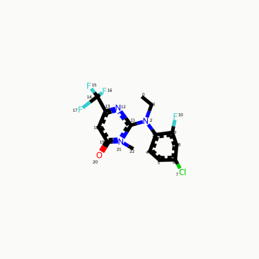 CCN(c1ccc(Cl)cc1F)c1nc(C(F)(F)F)cc(=O)n1C